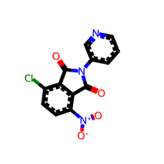 O=C1c2c(Cl)ccc([N+](=O)[O-])c2C(=O)N1c1cccnc1